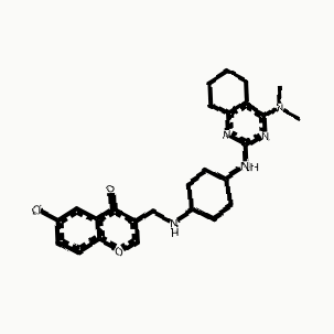 CN(C)c1nc(NC2CCC(NCc3coc4ccc(Cl)cc4c3=O)CC2)nc2c1CCCC2